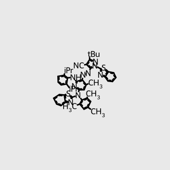 Cc1cc(C)c(N(c2cc(C)c(N=Nc3c(C#N)c(C(C)(C)C)nn3-c3nc4ccccc4s3)c(Nc3c(C(C)C)cccc3C(C)C)n2)c2nc3ccccc3s2)c(C)c1